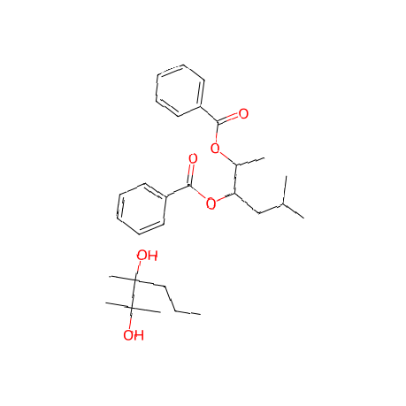 CC(C)CC(OC(=O)c1ccccc1)C(C)OC(=O)c1ccccc1.CCCC(C)(O)C(C)(C)O